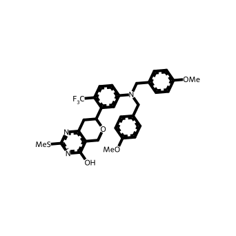 COc1ccc(CN(Cc2ccc(OC)cc2)c2ccc(C(F)(F)F)c(C3Cc4nc(SC)nc(O)c4CO3)c2)cc1